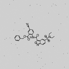 CCN(CC)S(=O)(=O)c1ccc2noc(C(=O)Nc3ccc(C#N)cc3C(=O)OCc3ccccc3)c2c1